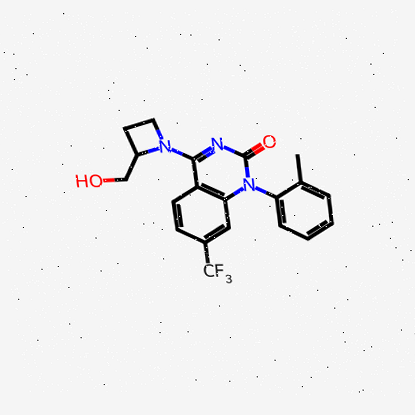 Cc1ccccc1-n1c(=O)nc(N2CCC2CO)c2ccc(C(F)(F)F)cc21